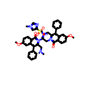 COc1ccc2c(=O)n(CC(NS(=O)(=O)c3cn(C)cn3)n3c(CN(C)C)c(-c4ccccc4)c4cc(OC)ccc4c3=O)c(CN(C)C)c(-c3ccccc3)c2c1